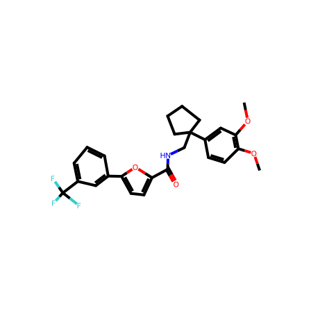 COc1ccc(C2(CNC(=O)c3ccc(-c4cccc(C(F)(F)F)c4)o3)CCCC2)cc1OC